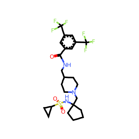 O=C(NCC1CCN(CC2(NS(=O)(=O)C3CC3)CCCC2)CC1)c1cc(C(F)(F)F)cc(C(F)(F)F)c1